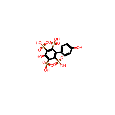 O=S(=O)(O)c1c(O)c(S(=O)(=O)O)c(S(=O)(=O)O)c(-c2ccc(O)cc2)c1S(=O)(=O)O